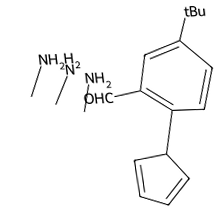 CC(C)(C)c1ccc(C2C=CC=C2)c(C=O)c1.CN.CN.CN